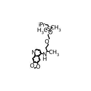 CC(C)C[Si](C)(C)OCCOCCC(C)Nc1ccnc2cc3c(cc12)OCO3